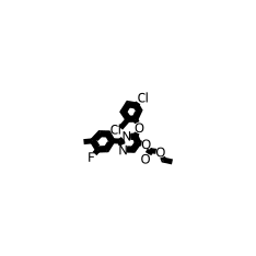 CCOC(=O)Oc1cnc(-c2ccc(C)c(F)c2)nc1Oc1cc(Cl)ccc1Cl